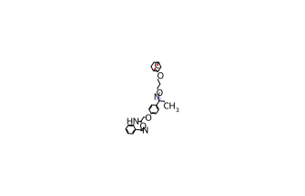 CC/C(=N\OCCCOC1CC2CCC1CC2)c1ccc(OCC(=O)Nc2ccccc2C#N)cc1